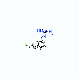 N=C(N)NCc1cccc(CCCF)c1